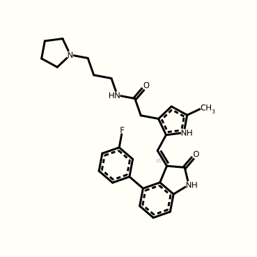 Cc1cc(CC(=O)NCCCN2CCCC2)c(/C=C2\C(=O)Nc3cccc(-c4cccc(F)c4)c32)[nH]1